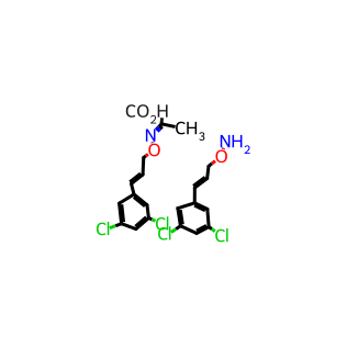 CC(=NOCC=Cc1cc(Cl)cc(Cl)c1)C(=O)O.NOCC=Cc1cc(Cl)cc(Cl)c1